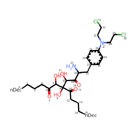 CCCCCCCCCCCCCC(=O)C(O)C(O)(C(=O)CCCCCCCCCCCCC)C(O)C(=O)C(N)Cc1ccc(N(CCCl)CCCl)cc1